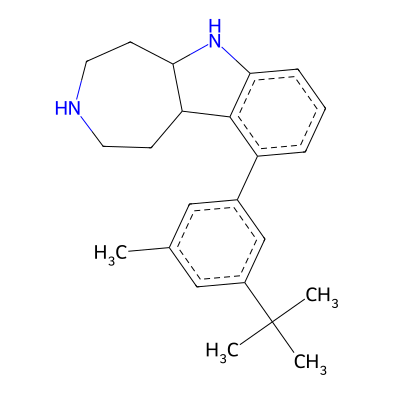 Cc1cc(-c2cccc3c2C2CCNCCC2N3)cc(C(C)(C)C)c1